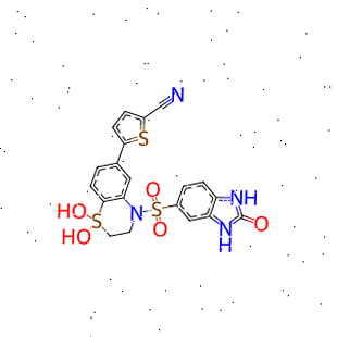 N#Cc1ccc(-c2ccc3c(c2)N(S(=O)(=O)c2ccc4[nH]c(=O)[nH]c4c2)CCS3(O)O)s1